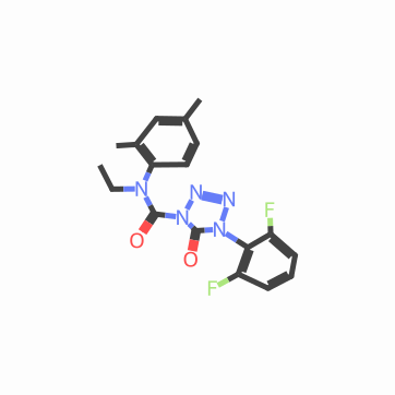 CCN(C(=O)n1nnn(-c2c(F)cccc2F)c1=O)c1ccc(C)cc1C